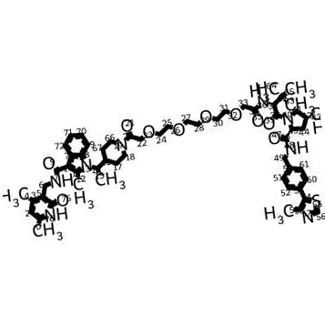 Cc1cc(C)c(CNC(=O)c2c(C)n(C(C)C3CCN(C(=O)COCCOCCOCCOCC(=O)N[C@H](C(=O)N4C[C@H](O)C[C@H]4C(=O)NCc4ccc(-c5scnc5C)cc4)C(C)(C)C)CC3)c3ccccc23)c(=O)[nH]1